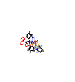 COC(=O)[C@@H]1O[C@H](c2ccccc2)N(NS(=O)(=O)c2nc3ccccc3s2)[C@H]1c1ccccc1